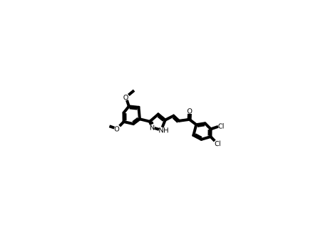 COc1cc(OC)cc(-c2cc(C=CC(=O)c3ccc(Cl)c(Cl)c3)[nH]n2)c1